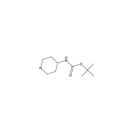 CC(C)(C)OC(=O)NC1CC[N]CC1